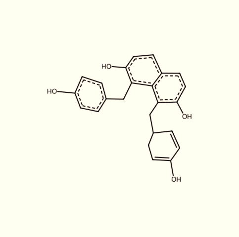 OC1=CCC(Cc2c(O)ccc3ccc(O)c(Cc4ccc(O)cc4)c23)C=C1